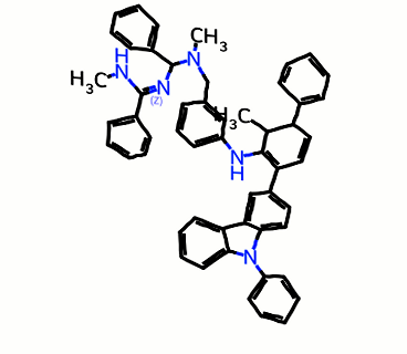 CN/C(=N\C(c1ccccc1)N(C)Cc1cccc(NC2=C(c3ccc4c(c3)c3ccccc3n4-c3ccccc3)C=CC(c3ccccc3)C2C)c1)c1ccccc1